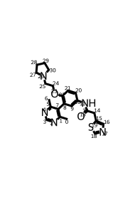 Cc1ncnc(C)c1-c1cc(NC(=O)Cc2cncs2)ccc1OCCN1CCCC1